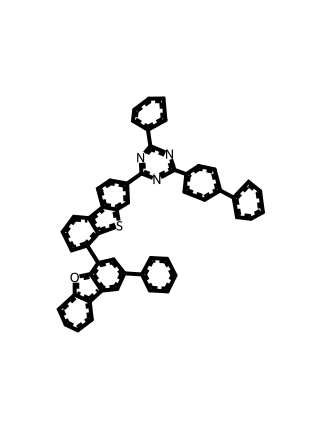 c1ccc(-c2ccc(-c3nc(-c4ccccc4)nc(-c4ccc5c(c4)sc4c(-c6cc(-c7ccccc7)cc7c6oc6ccccc67)cccc45)n3)cc2)cc1